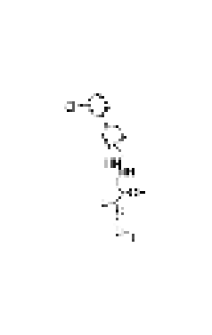 CCOC(=O)[C@H](O)CNNCc1ccc(-c2cccc(Cl)c2)cc1